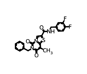 Cc1c(=O)n(Cc2ccccc2)c(=O)n2cc(C(=O)NCc3ccc(F)c(F)c3)sc12